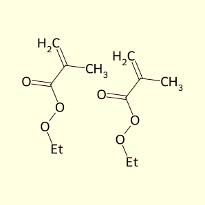 C=C(C)C(=O)OOCC.C=C(C)C(=O)OOCC